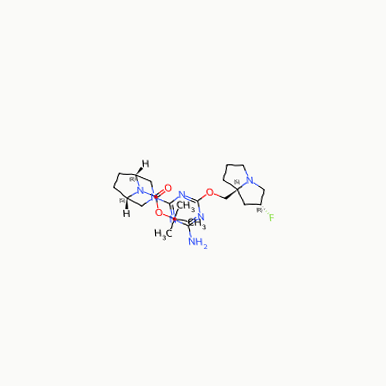 CC(C)(C)OC(=O)N1[C@@H]2CC[C@H]1CN(c1nc(N)nc(OC[C@@]34CCCN3C[C@H](F)C4)n1)C2